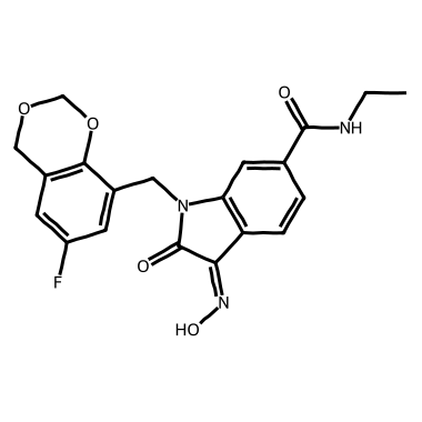 CCNC(=O)c1ccc2c(c1)N(Cc1cc(F)cc3c1OCOC3)C(=O)/C2=N\O